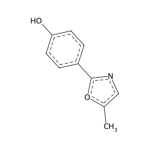 Cc1cnc(-c2ccc(O)cc2)o1